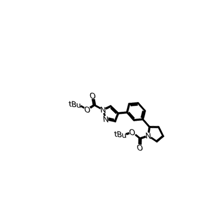 CC(C)(C)OC(=O)N1CCCC1c1cccc(-c2cnn(C(=O)OC(C)(C)C)c2)c1